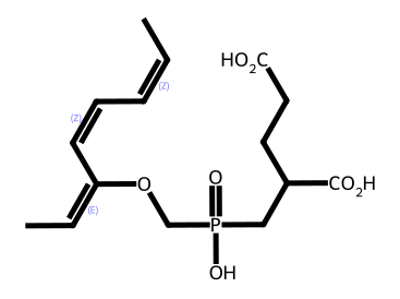 C\C=C/C=C\C(=C/C)OCP(=O)(O)CC(CCC(=O)O)C(=O)O